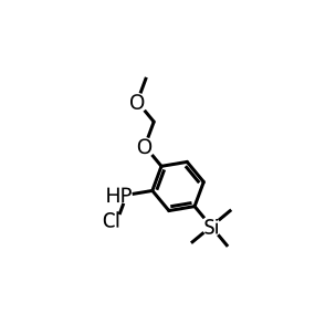 COCOc1ccc([Si](C)(C)C)cc1PCl